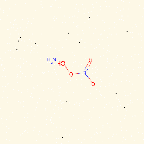 N.O=[N+]([O-])OO